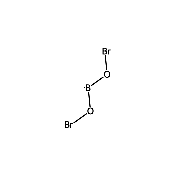 BrO[B]OBr